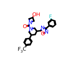 O=C(N1CC(O)C1)N1CC(c2ccc(C(F)(F)F)cc2)CC(c2nc(-c3cccc(F)c3)no2)C1